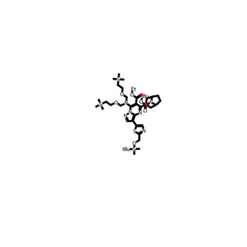 C=C(OCC)c1c(C2CC3CCC(C2)N3C(=O)OC(C)(C)C)nc2c(-c3cnc(CO[Si](C)(C)C(C)(C)C)s3)cnn2c1N(COCC[Si](C)(C)C)COCC[Si](C)(C)C